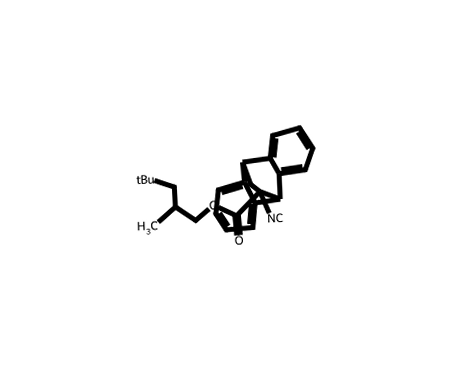 [C-]#[N+]C1(C(=O)OCC(C)CC(C)(C)C)CC2c3ccccc3C1c1ccccc12